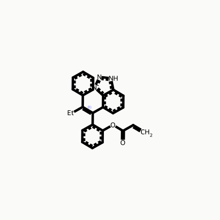 C=CC(=O)Oc1ccccc1/C(=C(\CC)c1ccccc1)c1cccc2[nH]nnc12